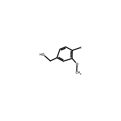 COc1cc([CH]O)ccc1I